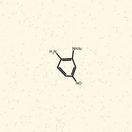 CC(=O)Nc1cc(N=O)ccc1N